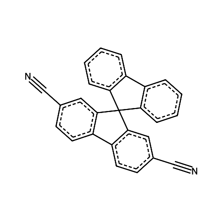 N#Cc1ccc2c(c1)C1(c3ccccc3-c3ccccc31)c1cc(C#N)ccc1-2